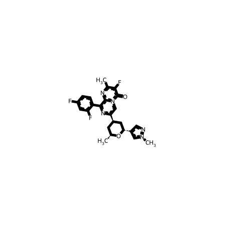 Cc1nc2c(-c3ccc(F)cc3F)nc([C@@H]3C[C@@H](C)O[C@@H](c4cnn(C)c4)C3)cn2c(=O)c1F